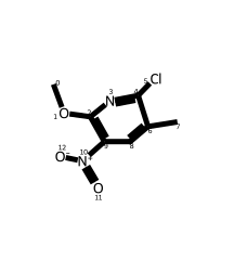 COc1nc(Cl)c(C)cc1[N+](=O)[O-]